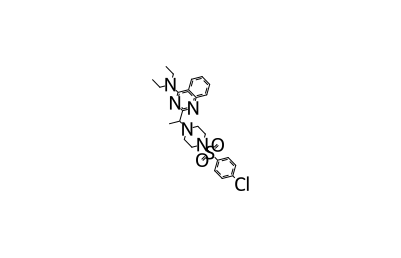 CCN(CC)c1nc(C(C)N2CCN(S(=O)(=O)c3ccc(Cl)cc3)CC2)nc2ccccc12